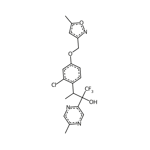 Cc1cnc(C(O)(C(C)c2ccc(OCc3cc(C)on3)cc2Cl)C(F)(F)F)cn1